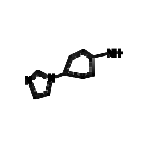 [NH]c1ccc(-n2ccnc2)cc1